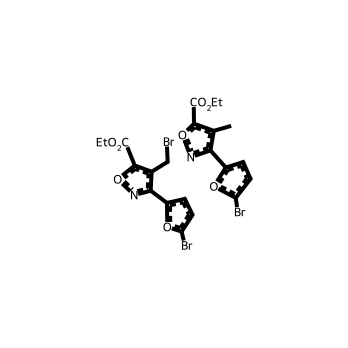 CCOC(=O)c1onc(-c2ccc(Br)o2)c1C.CCOC(=O)c1onc(-c2ccc(Br)o2)c1CBr